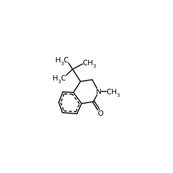 CN1CC(C(C)(C)C)c2ccccc2C1=O